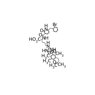 Cc1c(C)c(S(=O)(=O)NC(=N)NCCC[C@H](NC(=O)c2ccc(Cc3ccccc3Br)[nH]c2=O)C(=O)O)c(C)c2c1OC(C)(C)CC2